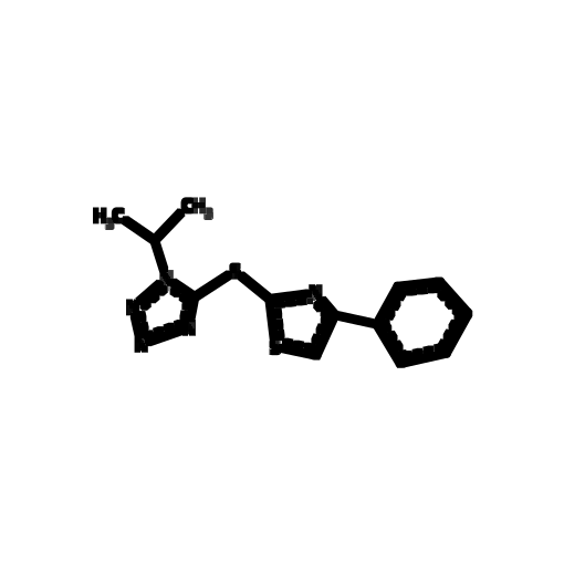 CC(C)n1nnnc1Sc1nc(-c2ccccc2)cs1